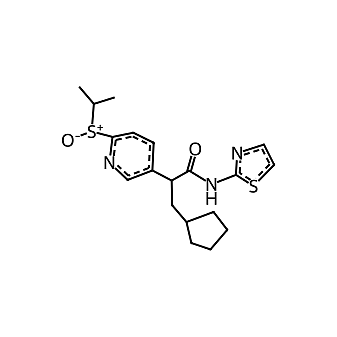 CC(C)[S+]([O-])c1ccc(C(CC2CCCC2)C(=O)Nc2nccs2)cn1